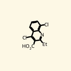 CCc1nc2c(Cl)cccc2c(Cl)c1C(=O)O